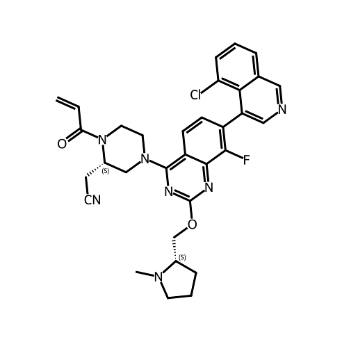 C=CC(=O)N1CCN(c2nc(OC[C@@H]3CCCN3C)nc3c(F)c(-c4cncc5cccc(Cl)c45)ccc23)C[C@@H]1CC#N